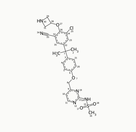 CC(C)(c1ccc(OCc2ccnc(NS(C)(=O)=O)n2)cc1)c1cc(Cl)c(OC2CNC2)c(C#N)c1